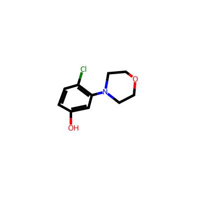 Oc1ccc(Cl)c(N2CCOCC2)c1